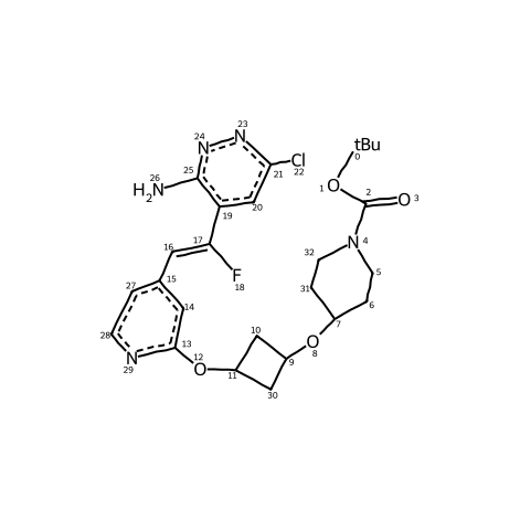 CC(C)(C)OC(=O)N1CCC(OC2CC(Oc3cc(C=C(F)c4cc(Cl)nnc4N)ccn3)C2)CC1